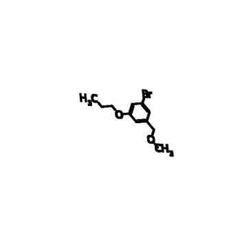 CCCOc1cc(Br)cc(COC)c1